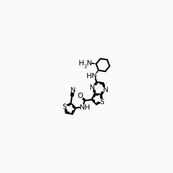 N#Cc1sccc1NC(=O)c1csc2ncc(N[C@@H]3CCCC[C@@H]3N)nc12